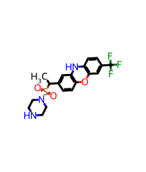 CC(c1ccc2c(c1)Nc1ccc(C(F)(F)F)cc1O2)S(=O)(=O)N1CCNCC1